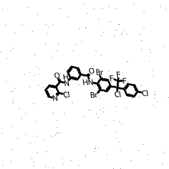 O=C(Nc1c(Br)cc(C(Cl)(c2ccc(Cl)cc2)C(F)(F)F)cc1Br)c1cccc(NC(=O)c2cccnc2Cl)c1